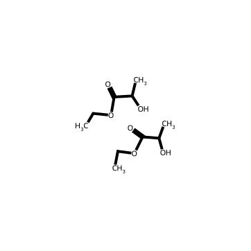 CCOC(=O)C(C)O.CCOC(=O)C(C)O